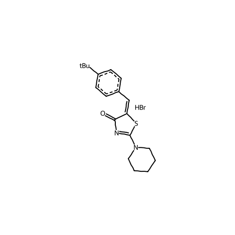 Br.CC(C)(C)c1ccc(C=C2SC(N3CCCCC3)=NC2=O)cc1